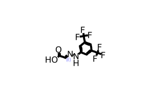 O=C(O)/C=N/Nc1cc(C(F)(F)F)cc(C(F)(F)F)c1